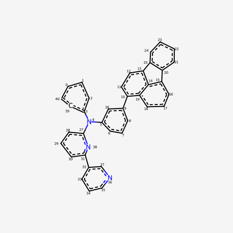 c1ccc(N(c2cccc(-c3ccc4c5c(cccc35)-c3ccccc3-4)c2)c2cccc(-c3cccnc3)n2)cc1